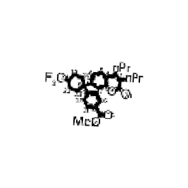 CCCc1c(CCC)c2ccc(C3(c4ccc(C(=O)OC)cc4)CCC(C(F)(F)F)CC3)cc2oc1=O